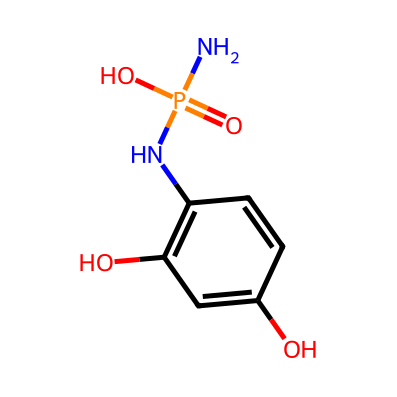 NP(=O)(O)Nc1ccc(O)cc1O